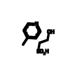 Cc1ccncc1.O=S(=O)(O)CCO